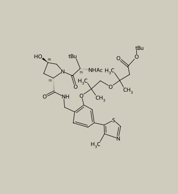 CC(=O)N[C@H](C(=O)N1C[C@H](O)C[C@H]1C(=O)NCc1ccc(-c2scnc2C)cc1OC(C)(C)COC(C)(C)CC(=O)OC(C)(C)C)C(C)(C)C